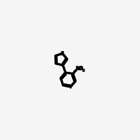 O=[N+]([O-])c1c[c]ccc1-c1ccsc1